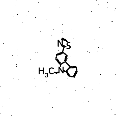 CCn1c2ccccc2c2cc(-c3nccs3)ccc21